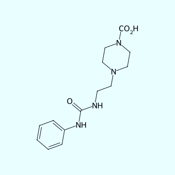 O=C(NCCN1CCN(C(=O)O)CC1)Nc1ccccc1